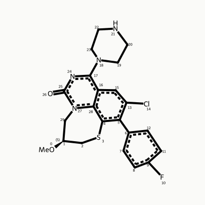 CO[C@@H]1CSc2c(-c3ccc(F)cc3)c(Cl)cc3c(N4CCNCC4)nc(=O)n(c23)C1